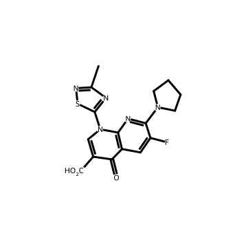 Cc1nsc(-n2cc(C(=O)O)c(=O)c3cc(F)c(N4CCCC4)nc32)n1